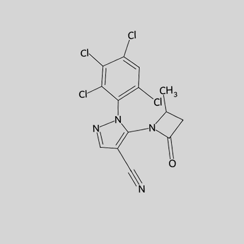 CC1CC(=O)N1c1c(C#N)cnn1-c1c(Cl)cc(Cl)c(Cl)c1Cl